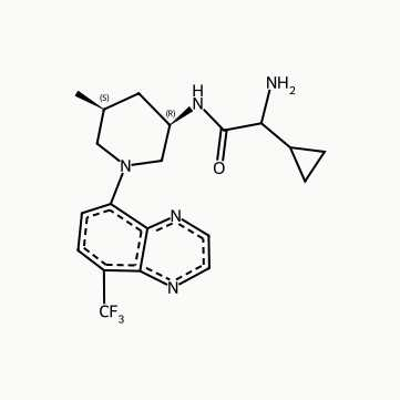 C[C@H]1C[C@@H](NC(=O)C(N)C2CC2)CN(c2ccc(C(F)(F)F)c3nccnc23)C1